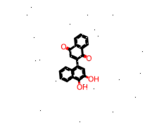 O=C1C=C(c2cc(O)c(O)c3ccccc23)C(=O)c2ccccc21